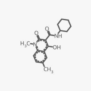 Cc1ccc2c(c1)c(O)c(C(=O)NC1CCCCC1)c(=O)n2C